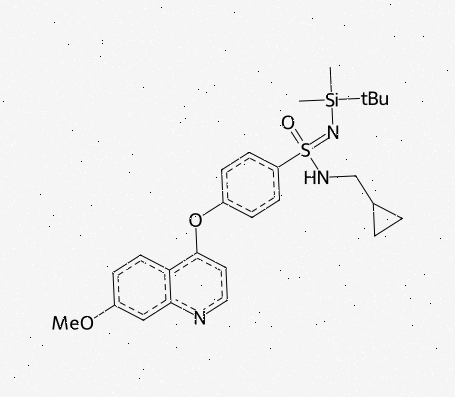 COc1ccc2c(Oc3ccc(S(=O)(=N[Si](C)(C)C(C)(C)C)NCC4CC4)cc3)ccnc2c1